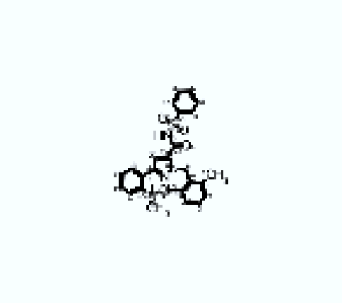 Cc1cccc(C)c1Cn1nc(-c2ccccc2N(C)C)cc1C(=O)NS(=O)(=O)c1ccccc1